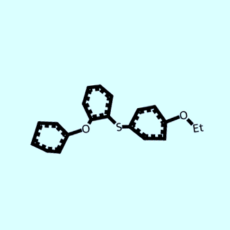 CCOc1ccc(Sc2ccccc2Oc2ccccc2)cc1